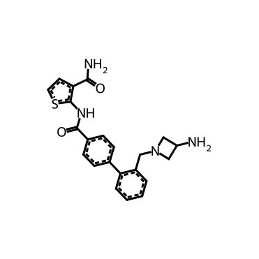 NC(=O)c1ccsc1NC(=O)c1ccc(-c2ccccc2CN2CC(N)C2)cc1